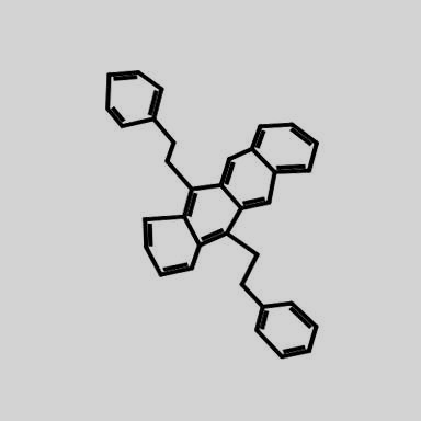 c1ccc(CCc2c3ccccc3c(CCc3ccccc3)c3cc4ccccc4cc23)cc1